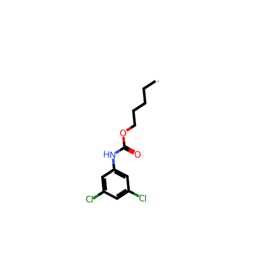 [CH2]CCCCOC(=O)Nc1cc(Cl)cc(Cl)c1